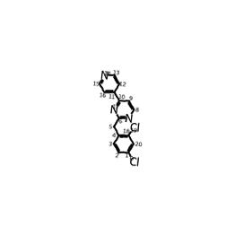 Clc1ccc(Cc2nccc(-c3ccncc3)n2)c(Cl)c1